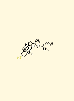 CC(CCC[C@@H](C)[C@H]1CC[C@H]2[C@@H]3CC=C4C[C@@H](S)CC[C@]4(C)[C@H]3CC[C@]12C)CC(=O)O